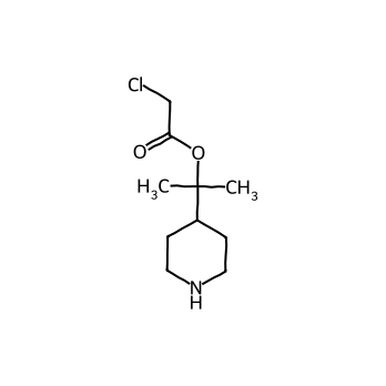 CC(C)(OC(=O)CCl)C1CCNCC1